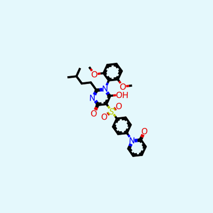 COc1cccc(OC)c1-n1c(CCC(C)C)nc(=O)c(S(=O)(=O)c2ccc(-n3ccccc3=O)cc2)c1O